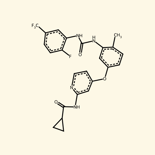 Cc1ccc(Oc2ccnc(NC(=O)C3CC3)c2)cc1NC(=O)Nc1cc(C(F)(F)F)ccc1F